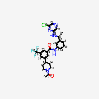 CC(=O)N1CCC(c2cc(C(=O)Nc3cccc([C@H](C)Nc4cncc(Cl)n4)c3)cc(C(F)(F)F)c2)CC1